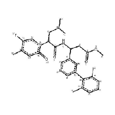 COC(=O)CC(NC(=O)C(CC(C)C)n1cc(F)c(C)cc1=O)c1cncc(-c2c(C)cccc2C)c1